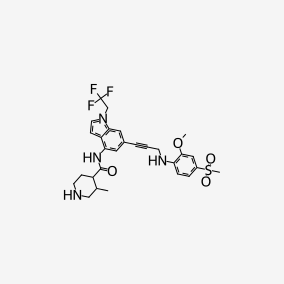 COc1cc(S(C)(=O)=O)ccc1NCC#Cc1cc(NC(=O)C2CCNCC2C)c2ccn(CC(F)(F)F)c2c1